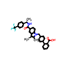 Cc1c(C)n(Cc2ccc(-c3ccccc3C(=O)O)cc2)c2ccc(C(=O)N[C@@H](C)c3ccc(C(F)(F)F)cc3)cc12